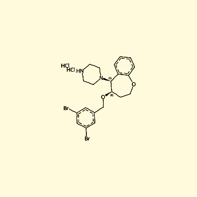 Brc1cc(Br)cc(CO[C@@H]2CCOc3ccccc3[C@@H]2N2CCNCC2)c1.Cl.Cl